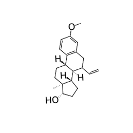 C=CC1Cc2cc(OC)ccc2[C@H]2CC[C@]3(C)[C@@H](O)CC[C@H]3[C@H]12